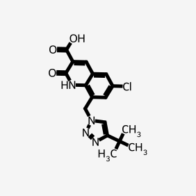 CC(C)(C)c1cn(Cc2cc(Cl)cc3cc(C(=O)O)c(=O)[nH]c23)nn1